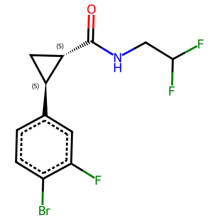 O=C(NCC(F)F)[C@H]1C[C@@H]1c1ccc(Br)c(F)c1